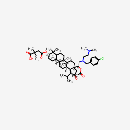 CC(=O)O[C@@H](CN(CCN(C)C)Cc1ccc(Cl)cc1)[C@@]12CC[C@]3(C)[C@H](CC[C@@H]4[C@@]5(C)CC[C@H](OC(=O)CC(C)(C)C(=O)O)C(C)(C)C5CC[C@]43C)C1=C(C(C)C)C(=O)C2